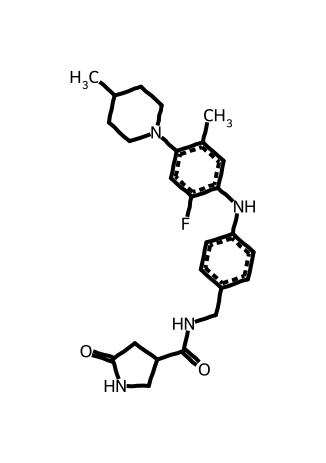 Cc1cc(Nc2ccc(CNC(=O)C3CNC(=O)C3)cc2)c(F)cc1N1CCC(C)CC1